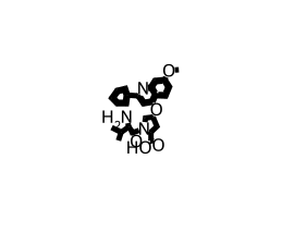 COc1ccc2c(OC3CC(C(=O)O)N(C(=O)C(N)C(C)C)C3)cc(-c3ccccc3)nc2c1